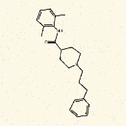 Cc1cccc(C)c1NC(=O)C1CCN(CCCc2ccccc2)CC1